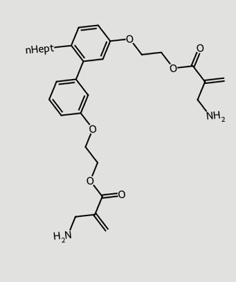 C=C(CN)C(=O)OCCOc1cccc(-c2cc(OCCOC(=O)C(=C)CN)ccc2CCCCCCC)c1